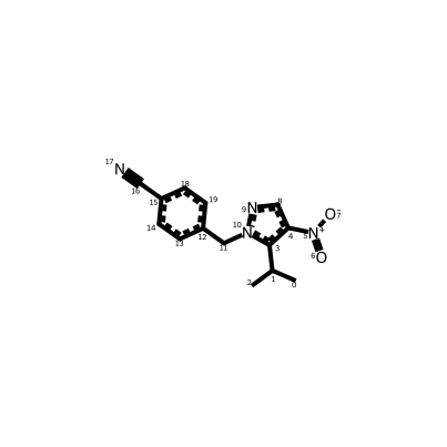 CC(C)c1c([N+](=O)[O-])cnn1Cc1ccc(C#N)cc1